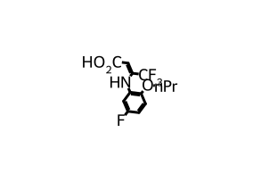 CCCOc1ccc(F)cc1N/C(=C\C(=O)O)C(F)(F)F